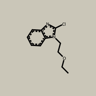 CCOCCn1c(Cl)nc2ccccc21